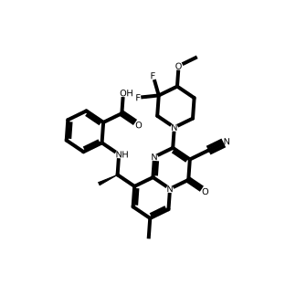 COC1CCN(c2nc3c([C@@H](C)Nc4ccccc4C(=O)O)cc(C)cn3c(=O)c2C#N)CC1(F)F